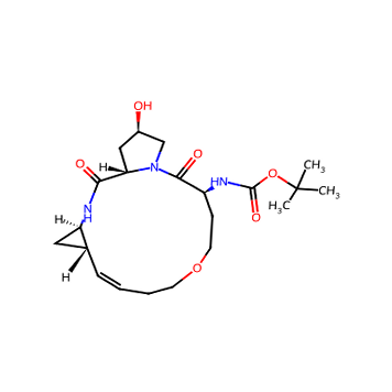 CC(C)(C)OC(=O)N[C@H]1CCOCC/C=C\[C@@H]2C[C@H]2NC(=O)[C@@H]2C[C@@H](O)CN2C1=O